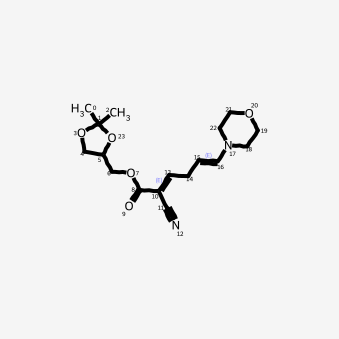 CC1(C)OCC(COC(=O)/C(C#N)=C/C/C=C/N2CCOCC2)O1